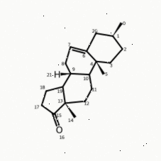 C[C@H]1CC[C@@]2(C)C(=CC[C@@H]3C2CC[C@]2(C)C(=O)CCC32)C1